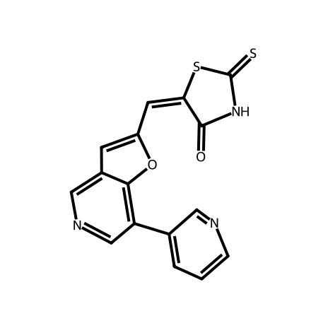 O=C1NC(=S)SC1=Cc1cc2cncc(-c3cccnc3)c2o1